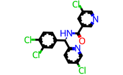 O=C(N[C@@H](c1ccc(Cl)c(Cl)c1)c1ccc(Cl)cn1)c1cncc(Cl)c1